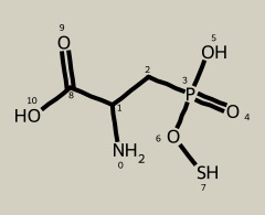 NC(CP(=O)(O)OS)C(=O)O